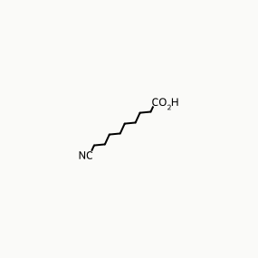 N#CCCCCCCCCC(=O)O